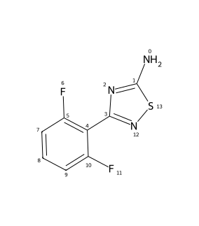 Nc1nc(-c2c(F)cccc2F)ns1